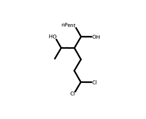 CCCCCC(O)C(CCC(Cl)Cl)C(C)O